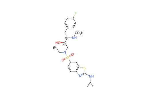 CC(C)CN(C[C@@H](O)[C@H](Cc1ccc(F)cc1)NC(=O)O)S(=O)(=O)c1ccc2nc(NC3CC3)sc2c1